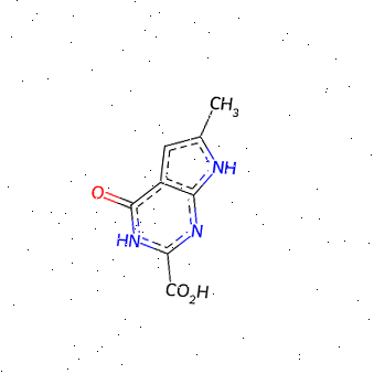 Cc1cc2c(=O)[nH]c(C(=O)O)nc2[nH]1